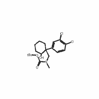 CN(CC1(c2ccc(Cl)c(Cl)c2)CCCCC1O)C(=O)OC(C)(C)C